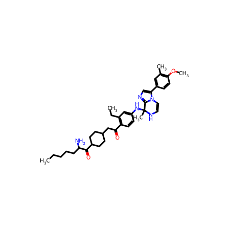 CCCCCC(N)C(=O)C1CCC(CC(=O)c2ccc(NC3(C)NC=Cn4c(-c5ccc(OC)c(C)c5)cnc43)cc2CC)CC1